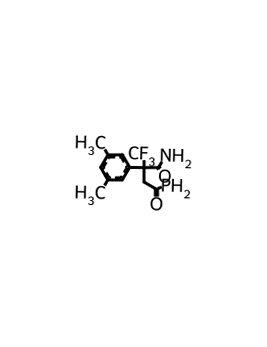 Cc1cc(C)cc(C(CC(=O)P)(C(N)=O)C(F)(F)F)c1